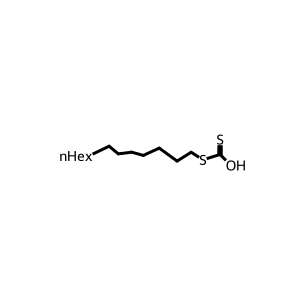 CCCCCCCCCCCCCSC(O)=S